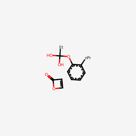 CCCc1ccccc1OC(O)(O)CC.O=C1C=CO1